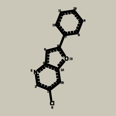 Clc1cnc2cc(-c3ccccc3)oc2c1